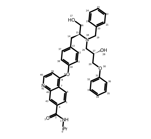 CC(C)NC(=O)c1ccc2c(Oc3ccc(C[C@@H](CO)N(Cc4ccccc4)C[C@H](O)COc4ccccc4)cc3)ccnc2c1